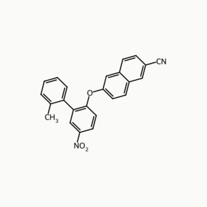 Cc1ccccc1-c1cc([N+](=O)[O-])ccc1Oc1ccc2cc(C#N)ccc2c1